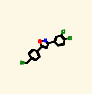 Clc1ccc(-c2cc(-c3ccc(CBr)cc3)on2)cc1Cl